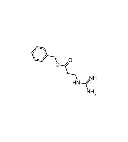 N=C(N)NC[CH]C(=O)OCc1ccccc1